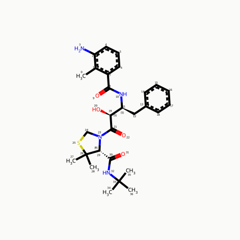 Cc1c(N)cccc1C(=O)N[C@@H](Cc1ccccc1)[C@H](O)C(=O)N1CSC(C)(C)[C@H]1C(=O)NC(C)(C)C